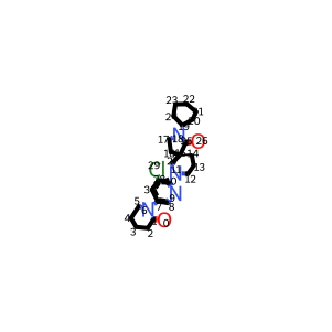 O=C1CCCCN1c1cnc(N2CCC[C@]3(CCN(C4CCCCC4)C3=O)C2)c(Cl)c1